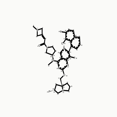 CN1CC(=CC(=O)N2CC[C@@H](N(C)c3nc(OC[C@@]45CCCN4C[C@H](F)C5)nc4c(F)c(-c5cccc6ccc(F)c(Cl)c56)ncc34)C2)C1